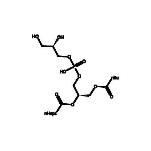 CCCCCCCC(=O)O[C@@H](COC(=O)CCCC)COP(=O)(O)OC[C@@H](O)CO